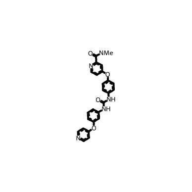 CNC(=O)c1cc(Oc2ccc(NC(=O)Nc3cccc(Oc4ccncc4)c3)cc2)ccn1